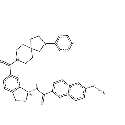 COc1ccc2cc(C(=O)N[C@@H]3CCc4ccc(C(=O)N5CCC6(CC5)CCN(c5ccncc5)C6)cc43)ccc2c1